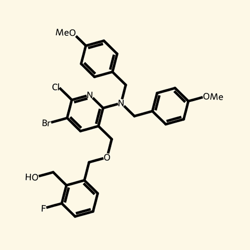 COc1ccc(CN(Cc2ccc(OC)cc2)c2nc(Cl)c(Br)cc2COCc2cccc(F)c2CO)cc1